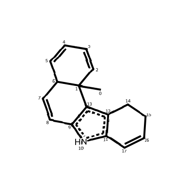 CC12C=CC=CC1C=Cc1[nH]c3c(c12)CCC=C3